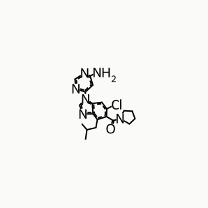 CC(C)Cc1c(C(=O)N2CCCC2)c(Cl)cc2c1ncn2-c1cc(N)ncn1